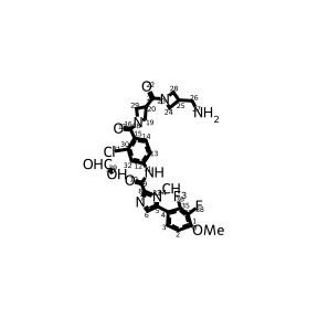 COc1ccc(-c2cnc(C(=O)Nc3ccc(C(=O)N4CC(C(=O)N5CC(CN)C5)C4)c(Cl)c3)n2C)c(F)c1F.O=CO